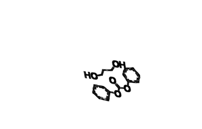 O=C(Oc1ccccc1)Oc1ccccc1.OCCCO